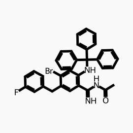 CC(=O)NC(=N)c1cc(Cc2cccc(F)c2)c(Br)cc1NC(c1ccccc1)(c1ccccc1)c1ccccc1